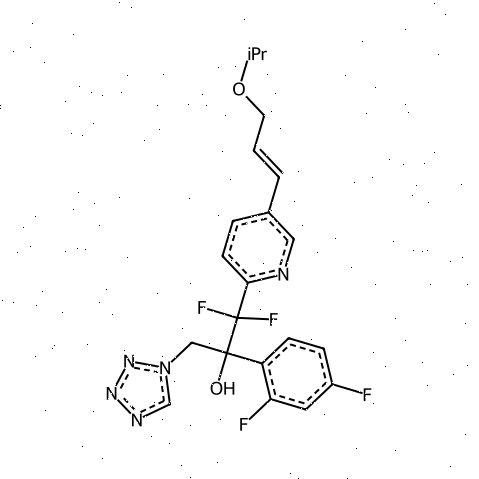 CC(C)OCC=Cc1ccc(C(F)(F)C(O)(Cn2cnnn2)c2ccc(F)cc2F)nc1